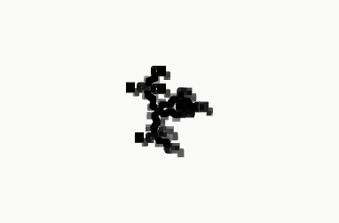 C=CC[Si](C)(C)CCC[Si](CCCO)(CCC[Si](C)(C)CC=C)CCC[Si](C)(C)CC=C